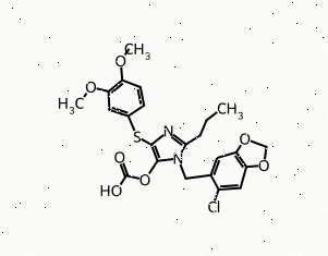 CCCc1nc(Sc2ccc(OC)c(OC)c2)c(OC(=O)O)n1Cc1cc2c(cc1Cl)OCO2